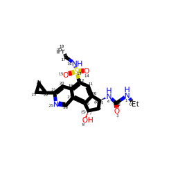 CCNC(=O)N[C@@H]1C[C@H](O)c2c1cc(S(=O)(=O)NCC(C)C)c1cc(C3CC3)ncc21